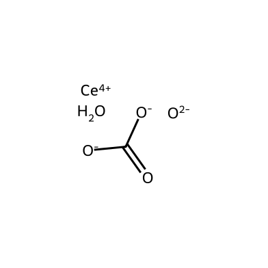 O.O=C([O-])[O-].[Ce+4].[O-2]